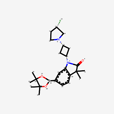 CC1(C)C(=O)N([C@H]2C[C@@H](N3CC[C@H](F)C3)C2)c2cc(B3OC(C)(C)C(C)(C)O3)ccc21